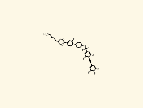 CCCCCC1COC(c2ccc(C3CCC(OC(F)(F)c4cc(F)c(C#Cc5cc(F)c(F)c(F)c5)c(F)c4)CC3)c(F)c2)OC1